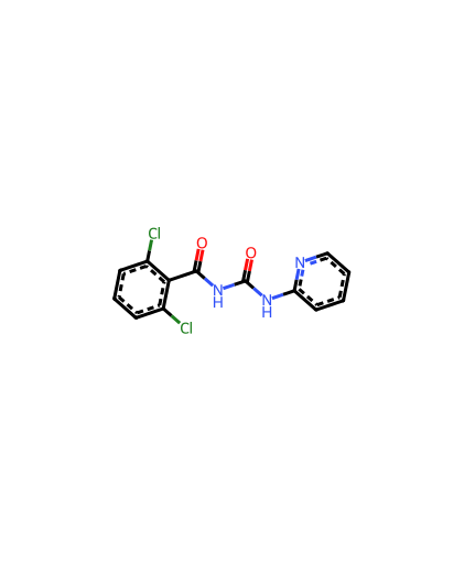 O=C(NC(=O)c1c(Cl)cccc1Cl)Nc1ccccn1